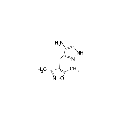 Cc1noc(C)c1Cc1n[nH]cc1N